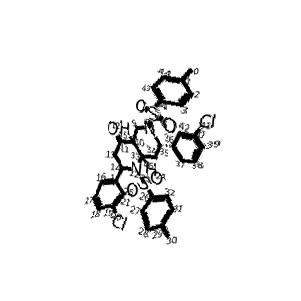 Cc1ccc(S(=O)(=O)N2C[C@H]3C(=O)CC(c4cccc(Cl)c4)N(S(=O)(=O)c4ccc(C)cc4)[C@H]3C[C@H]2c2cccc(Cl)c2)cc1